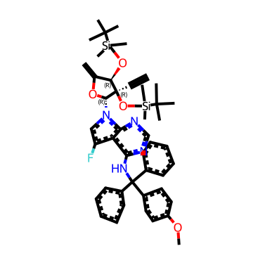 C#C[C@@]1(O[Si](C)(C)C(C)(C)C)[C@H](O[Si](C)(C)C(C)(C)C)C(=C)O[C@H]1n1cc(F)c2c(NC(c3ccccc3)(c3ccccc3)c3ccc(OC)cc3)ncnc21